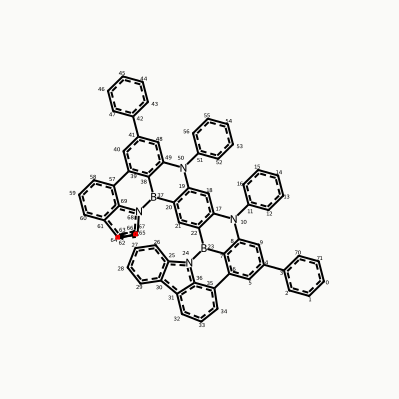 c1ccc(-c2cc3c4c(c2)N(c2ccccc2)c2cc5c(cc2B4n2c4ccccc4c4cccc-3c42)B2c3c(cc(-c4ccccc4)cc3N5c3ccccc3)-c3cccc4c5ccccc5n2c34)cc1